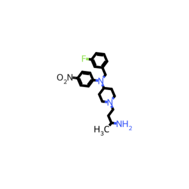 CC(N)CCN1CCC(N(Cc2cccc(F)c2)c2ccc([N+](=O)[O-])cc2)CC1